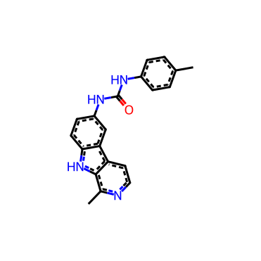 Cc1ccc(NC(=O)Nc2ccc3[nH]c4c(C)nccc4c3c2)cc1